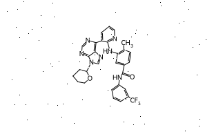 Cc1ccc(C(=O)Nc2cccc(C(F)(F)F)c2)cc1Nc1ncccc1-c1ncnc2c1ncn2C1CCCCO1